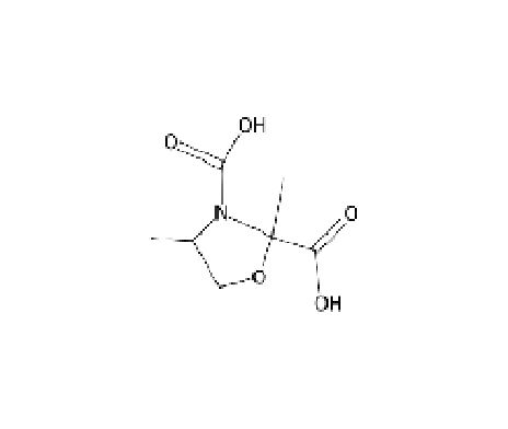 CC1COC(C)(C(=O)O)N1C(=O)O